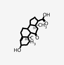 C[C@]12CC(=O)C3C(CCC4=CC(O)CC[C@@]43C)C1CCC2C(=O)O